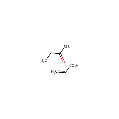 C=CC(=O)O.CCC(C)=O